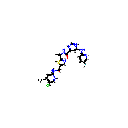 CC(NC(=O)c1cc(Nc2ccc(F)cn2)ncn1)c1ncc(C(=O)Nc2cc(C(F)(F)F)c(Cl)cn2)s1